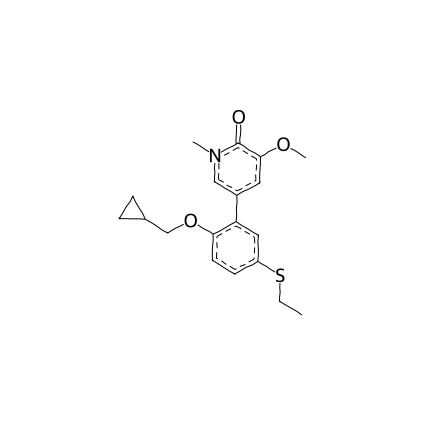 CCSc1ccc(OCC2CC2)c(-c2cc(OC)c(=O)n(C)c2)c1